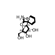 NC(=O)C1([C@@H]2O[C@H](CO)[C@@H](O)[C@H]2O)C=CC=CN1